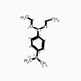 CCOP(OCC)c1ccc(N(C)C)cc1